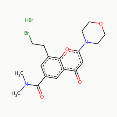 Br.CN(C)C(=O)c1cc(CCBr)c2oc(N3CCOCC3)cc(=O)c2c1